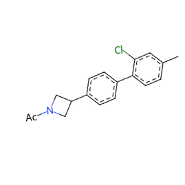 CC(=O)N1CC(c2ccc(-c3ccc(C)cc3Cl)cc2)C1